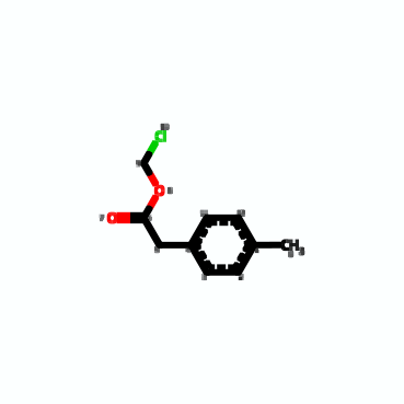 Cc1ccc(CC(=O)OCCl)cc1